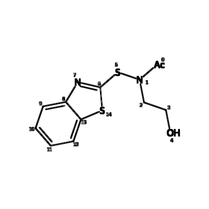 CC(=O)N(CCO)Sc1nc2ccccc2s1